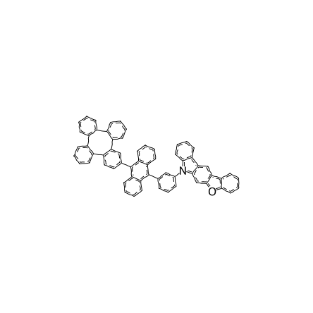 c1cc(-c2c3ccccc3c(-c3ccc4c(c3)-c3ccccc3-c3ccccc3-c3ccccc3-4)c3ccccc23)cc(-n2c3ccccc3c3cc4c(cc32)oc2ccccc24)c1